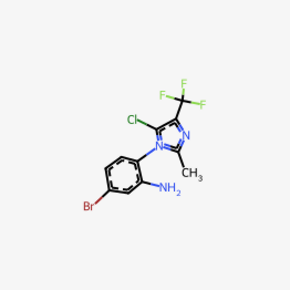 Cc1nc(C(F)(F)F)c(Cl)n1-c1ccc(Br)cc1N